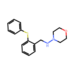 c1ccc(Sc2ccccc2CNN2CCOCC2)cc1